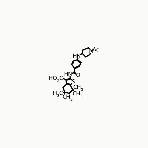 CC(=O)N1CCC(Nc2ccc(C(=O)Nc3sc4c(c3C(=O)O)CC(C)(C)CC4(C)C)cc2)CC1